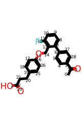 CC(=O)c1ccc(-c2cccc(F)c2COc2ccc(CCC(=O)O)cc2)cc1